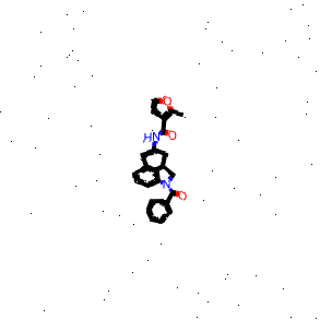 Cc1occc1C(=O)NC1=Cc2cccc3c2C(C1)CN3C(=O)c1ccccc1